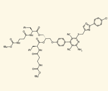 CC(C)C[C@H](NC(=O)CCNC(=O)OC(C)(C)C)C(=O)OC[C@H](COc1ccc(-c2c(C#N)c(N)nc(SCc3coc(-c4ccc(Cl)cc4)n3)c2C#N)cc1)OC(=O)[C@H](CC(C)C)NC(=O)CCNC(=O)OC(C)(C)C